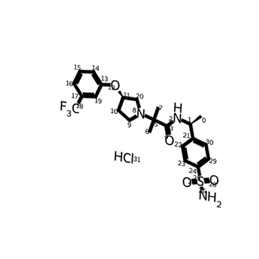 C[C@H](NC(=O)C(C)(C)N1CC[C@@H](Oc2cccc(C(F)(F)F)c2)C1)c1ccc(S(N)(=O)=O)cc1.Cl